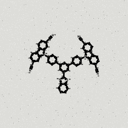 N#Cc1ccc2c3ccc(C#N)cc3n(-c3ccc(-c4cc(-c5ccc(-n6c7cc(C#N)ccc7c7ccc(C#N)cc76)cc5)cc(-c5nc6ccccc6s5)c4)cc3)c2c1